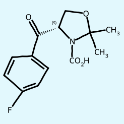 CC1(C)OC[C@@H](C(=O)c2ccc(F)cc2)N1C(=O)O